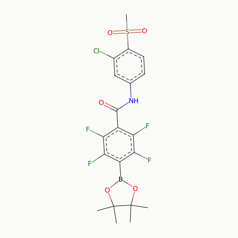 CC1(C)OB(c2c(F)c(F)c(C(=O)Nc3ccc(S(C)(=O)=O)c(Cl)c3)c(F)c2F)OC1(C)C